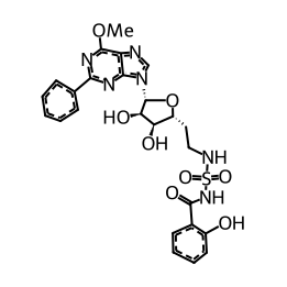 COc1nc(-c2ccccc2)nc2c1ncn2[C@@H]1O[C@H](CCNS(=O)(=O)NC(=O)c2ccccc2O)[C@@H](O)[C@H]1O